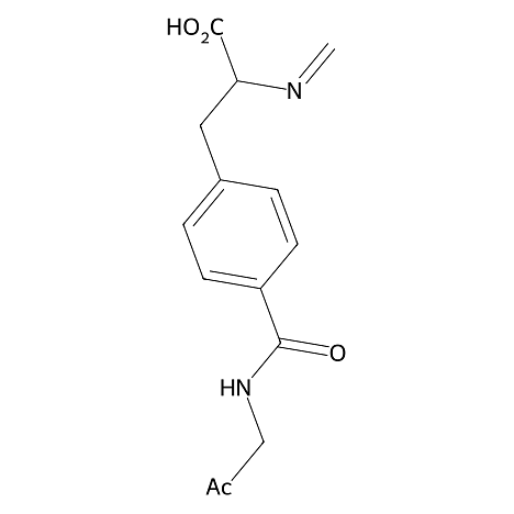 C=NC(Cc1ccc(C(=O)NCC(C)=O)cc1)C(=O)O